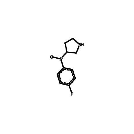 [O-][S+](c1ccc(F)cc1)C1CCNC1